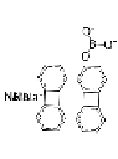 [Na+].[Na+].[Na+].[O-]B([O-])[O-].c1ccc2c(c1)-c1ccccc1-2.c1ccc2c(c1)-c1ccccc1-2